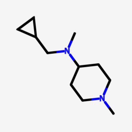 CN1CCC(N(C)CC2CC2)CC1